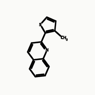 Cc1ccsc1-c1ccc2ccccc2n1